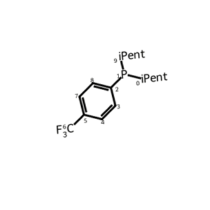 CCCC(C)P(c1ccc(C(F)(F)F)cc1)C(C)CCC